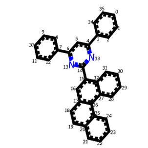 c1ccc(-c2cc(-c3ccccc3)nc(-c3cc4ccc5ccccc5c4c4ccccc34)n2)cc1